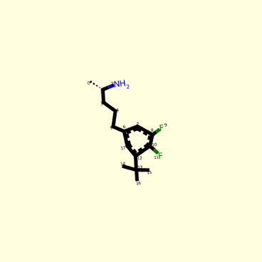 C[C@H](N)CCCc1cc(F)c(F)c(C(C)(C)C)c1